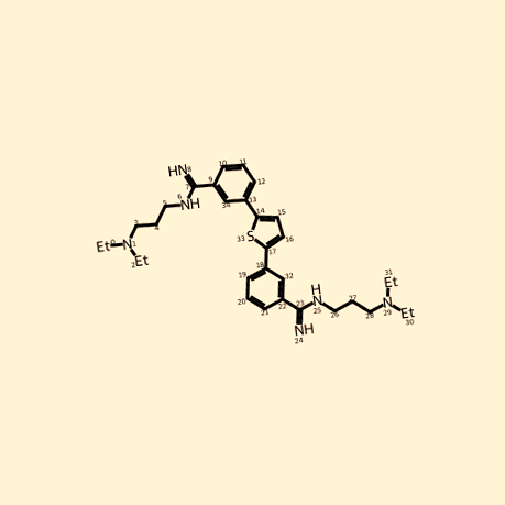 CCN(CC)CCCNC(=N)c1cccc(-c2ccc(-c3cccc(C(=N)NCCCN(CC)CC)c3)s2)c1